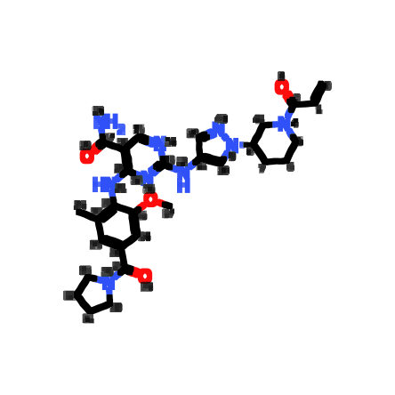 C=CC(=O)N1CCC[C@H](n2cc(Nc3ncc(C(N)=O)c(Nc4c(C)cc(C(=O)N5CCCC5)cc4OC)n3)cn2)C1